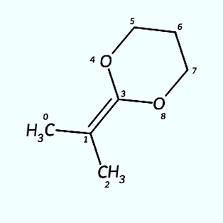 CC(C)=C1OCCCO1